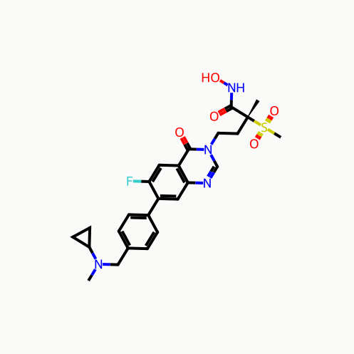 CN(Cc1ccc(-c2cc3ncn(CC[C@](C)(C(=O)NO)S(C)(=O)=O)c(=O)c3cc2F)cc1)C1CC1